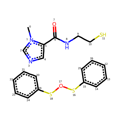 Cn1cncc1C(=O)NCCS.c1ccc(SOSc2ccccc2)cc1